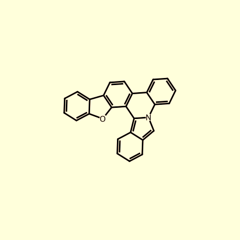 c1ccc2c(c1)cn1c3ccccc3c3ccc4c5ccccc5oc4c3c21